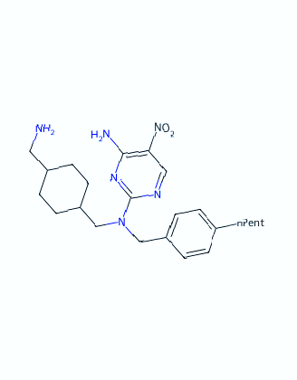 CCCCCc1ccc(CN(CC2CCC(CN)CC2)c2ncc([N+](=O)[O-])c(N)n2)cc1